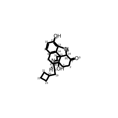 O=C1CCC2(O)[C@H]3Cc4ccc(O)c5c4C2(CCN3CC2CCC2)[C@H]1O5